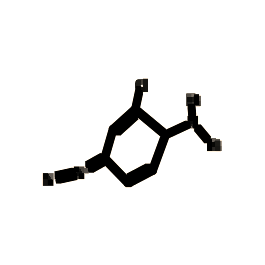 CCN(CC)C1C=CC(=[N+]=[N-])C=C1Cl